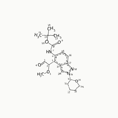 COC(C=O)c1c(NC(=O)OC(C)(C)C)ccc2nn(C3CCCCO3)cc12